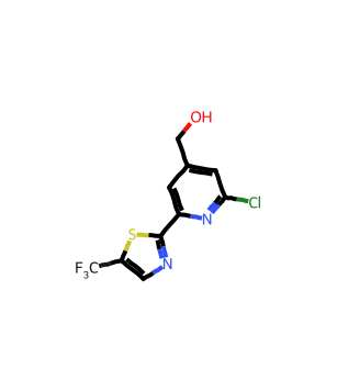 OCc1cc(Cl)nc(-c2ncc(C(F)(F)F)s2)c1